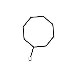 [U][CH]1CCCCCCC1